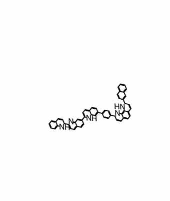 C1=CC2=CC=C(c3ccc4ccc(C5C=Cc6ccccc6N5)nc4c3)NC2C=C1c1ccc(-c2ccc3ccc4c(c3n2)NC(c2ccc3ccccc3c2)C=C4)cc1